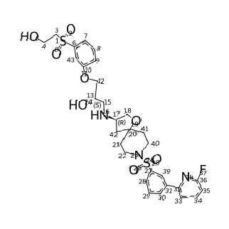 O=S(=O)(CCO)c1cccc(OC[C@@H](O)CN[C@H]2COC3(CCN(S(=O)(=O)c4cccc(-c5cccc(F)n5)c4)CC3)C2)c1